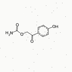 NC(=O)OCC(=O)c1ccc(O)cc1